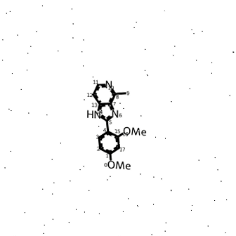 COc1ccc(-c2nc3c(C)nccc3[nH]2)c(OC)c1